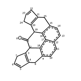 O=C1C2C3=C(C=CC3)Cc3ccc4ccc5c(c4c32)C1C1=C(C=CC1)C5